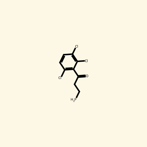 O=C(CCP)c1c(Cl)ccc(Cl)c1Cl